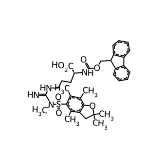 Cc1c(C)c(S(=O)(=O)N(C)C(=N)NCCC[C@H](NC(=O)OCC2c3ccccc3-c3ccccc32)C(=O)O)c(C)c2c1OC(C)(C)C2